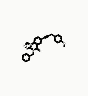 COc1ccc(CC#Cc2ccc3c(c2)c(=O)n(Cc2ccccc2)c2nncn32)cc1